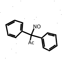 CC(=O)C(N=O)(c1ccccc1)c1ccccc1